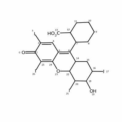 O=C1C(I)=CC2=C(C3CCCCC3C(=O)O)C3CC(I)C(O)C(I)C3OC2=C1I